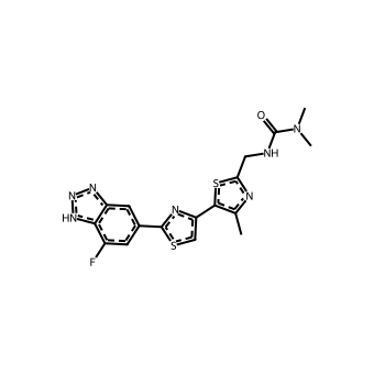 Cc1nc(CNC(=O)N(C)C)sc1-c1csc(-c2cc(F)c3[nH]nnc3c2)n1